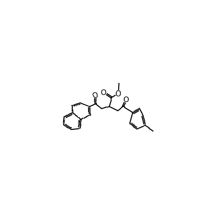 COC(=O)C(CC(=O)c1ccc(C)cc1)CC(=O)c1ccc2ccccc2c1